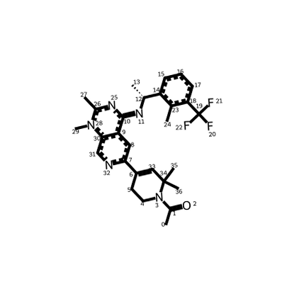 CC(=O)N1CCC(c2cc3/c(=N/[C@H](C)c4cccc(C(F)(F)F)c4C)nc(C)n(C)c3cn2)=CC1(C)C